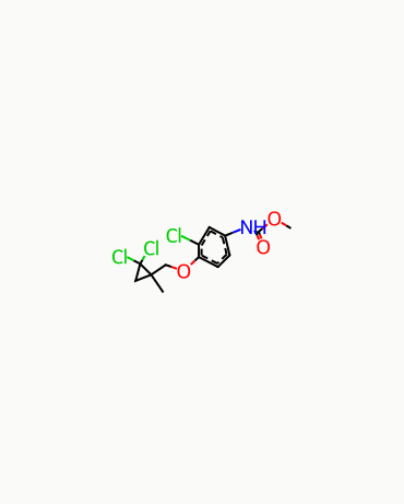 COC(=O)Nc1ccc(OCC2(C)CC2(Cl)Cl)c(Cl)c1